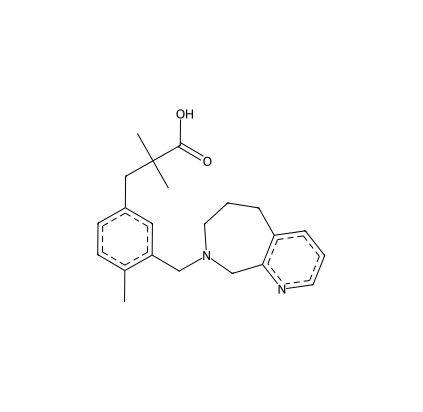 Cc1ccc(CC(C)(C)C(=O)O)cc1CN1CCCc2cccnc2C1